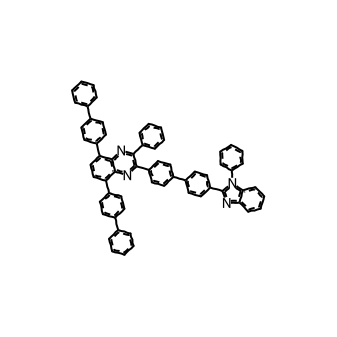 c1ccc(-c2ccc(-c3ccc(-c4ccc(-c5ccccc5)cc4)c4nc(-c5ccc(-c6ccc(-c7nc8ccccc8n7-c7ccccc7)cc6)cc5)c(-c5ccccc5)nc34)cc2)cc1